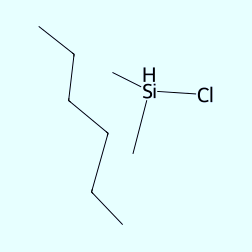 CCCCCC.C[SiH](C)Cl